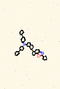 C1=c2c(-c3ccc4ccc(N(c5ccc(-c6ccccc6)cc5)c5ccc(-c6ccccc6)cc5)cc4c3)cccc2=C2OC(c3ccccc3)=NC2C1